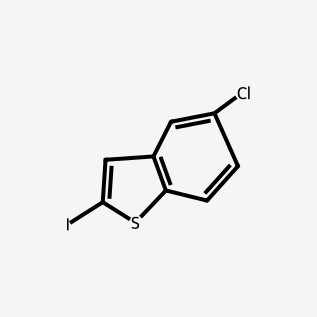 Clc1ccc2sc(I)cc2c1